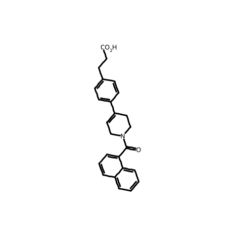 O=C(O)CCc1ccc(C2=CCN(C(=O)c3cccc4ccccc34)CC2)cc1